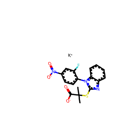 CC(C)(Sc1nc2ccccc2n1-c1ccc([N+](=O)[O-])cc1F)C(=O)[O-].[K+]